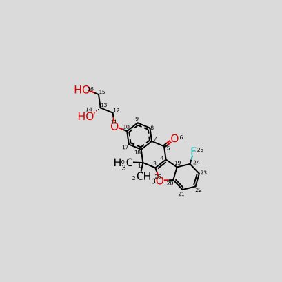 CC1(C)C2=C(C(=O)c3ccc(OC[C@H](O)CO)cc31)C1C(=CC=CC1F)O2